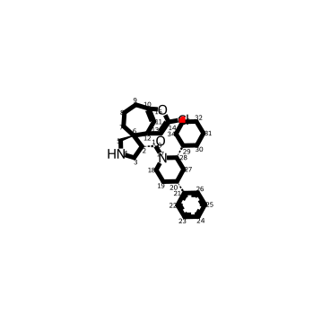 O=C([C@@H]1CNC[C@]12CCCC1=CC2C=C(Cl)O1)N1CC[C@@H](c2ccccc2)C[C@H]1C1CCCCC1